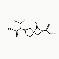 C=CC(=O)N1CC2(CCN([C@H](C(=O)O)C(C)C)C2)C1=O